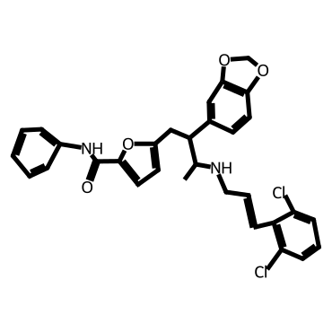 CC(NCC=Cc1c(Cl)cccc1Cl)C(Cc1ccc(C(=O)Nc2ccccc2)o1)c1ccc2c(c1)OCO2